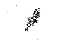 N#Cc1ccc(C(=O)Nc2c(Cl)cc(C(F)(C(F)(F)F)C(F)(F)C(F)(F)F)cc2Br)c(F)c1